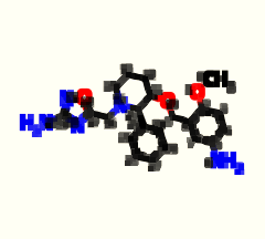 COc1ccc(N)cc1CO[C@@H]1CCCN(Cc2nc(N)no2)[C@@H]1c1ccccc1